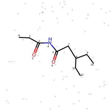 CCC(=O)NC(=O)CC(CC)CC